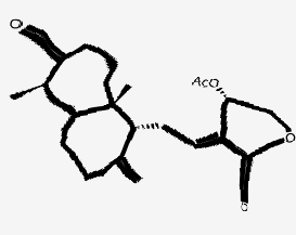 C=C1CCC2[C@@H](C)C(=O)CC[C@]2(C)[C@@H]1C/C=C1/C(=O)OC[C@H]1OC(C)=O